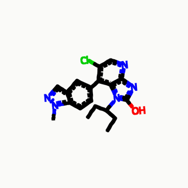 CCC(CC)n1c(O)nc2ncc(Cl)c(-c3ccc4c(cnn4C)c3)c21